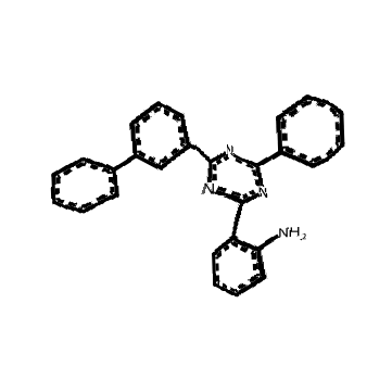 Nc1ccccc1-c1nc(-c2ccccc2)nc(-c2cccc(-c3ccccc3)c2)n1